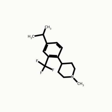 CC(C)c1ccc(C2CCN(C)CC2)c(C(F)(F)F)c1